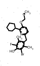 COCOc1ccc(Cc2c(C)c(F)c(O)c(Br)c2C)nc1C1CCCCC1